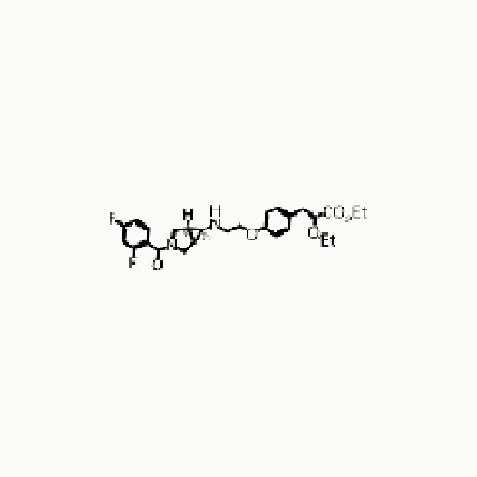 CCOC(=O)[C@H](Cc1ccc(OCCN[C@H]2C3CN(C(=O)c4ccc(F)cc4F)C[C@@H]32)cc1)OCC